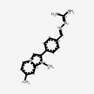 Cc1cc[n+]2cc(-c3ccc(/C=N/N=C(N)N)cc3)n(C)c2c1